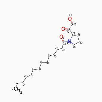 CCCCCCCCCCCCCC(=O)N1CCCC1C(=O)C=O